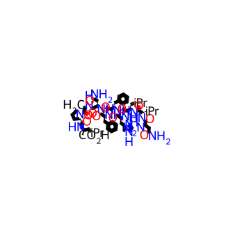 CC(C)C[C@H](NC(=O)[C@@H]1CCCN1C(=O)[C@H](C)NC(=O)[C@H](CC(N)=O)NC(=O)[C@H](Cc1ccccc1)NC(=O)[C@H](Cc1ccccc1)NC(=O)[C@H](Cc1c[nH]cn1)NC(=O)[C@H](CC(C)C)NC(=O)[C@@H](NC(=O)[C@@H](N)CC(N)=O)C(C)C)C(=O)O